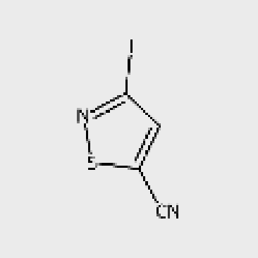 N#Cc1cc(I)ns1